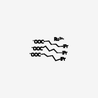 CC(C)CCCCC(=O)[O-].CC(C)CCCCC(=O)[O-].CC(C)CCCCC(=O)[O-].[Ru+3]